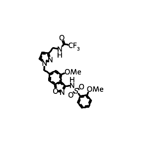 COc1ccccc1S(=O)(=O)Nc1noc2cc(Cn3ccc(CNC(=O)C(F)(F)F)n3)cc(OC)c12